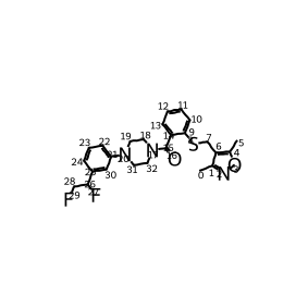 Cc1noc(C)c1CSc1ccccc1C(=O)N1CCN(c2cccc(C(F)CF)c2)CC1